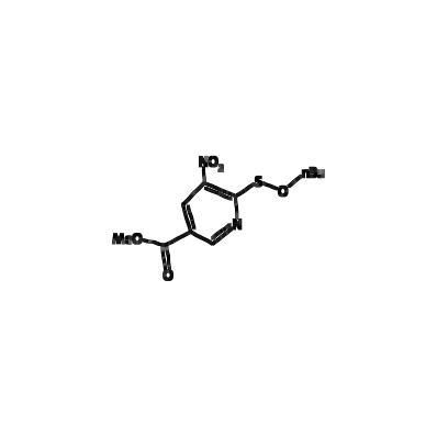 CCCCOSc1ncc(C(=O)OC)cc1[N+](=O)[O-]